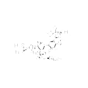 CN1C(=O)C2(CCC2)c2c1cnc1cc(F)c(-c3cnc(N4CC(N(C)C)C4)c(NS(=O)(=O)CC#N)c3)cc21.Cl